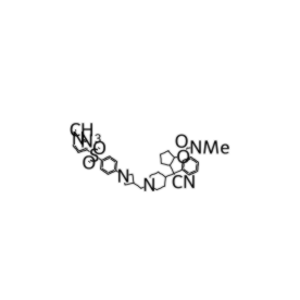 CNC(=O)OC1CCCC1C(C#N)(c1ccccc1)C1CCN(CC2CN(c3ccc(S(=O)(=O)c4ccn(C)n4)cc3)C2)CC1